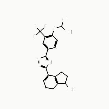 CC(C)Oc1ccc(-c2nc(C3=CCCC4=C3CCC4O)no2)cc1C(F)(F)F